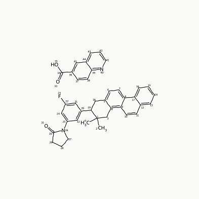 CC1(C)Cc2c(ccc3c2ccc2ccccc23)CC1c1cc(F)cc(N2CCCC2=O)c1.O=C(O)c1ccc2ncccc2c1